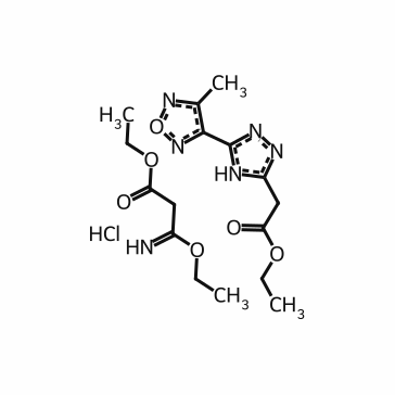 CCOC(=N)CC(=O)OCC.CCOC(=O)Cc1nnc(-c2nonc2C)[nH]1.Cl